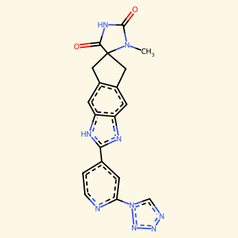 CN1C(=O)NC(=O)C12Cc1cc3nc(-c4ccnc(-n5cnnn5)c4)[nH]c3cc1C2